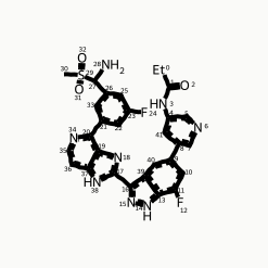 CCC(=O)Nc1cncc(-c2cc(F)c3[nH]nc(-c4nc5c(-c6cc(F)cc(C(N)S(C)(=O)=O)c6)nccc5[nH]4)c3c2)c1